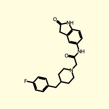 O=C(CN1CCC(Cc2ccc(F)cc2)CC1)Nc1ccc2c(c1)CC(=O)N2